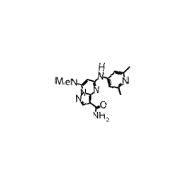 CNc1cc(Nc2cc(C)nc(C)c2)nc2c(C(N)=O)cnn12